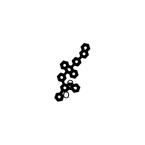 c1cc(-c2c3ccccc3c(-c3ccc(-c4ccc5ccccc5c4)cc3)c3ccccc23)cc(-c2cc3c4ccccc4oc3c3c2oc2ccccc23)c1